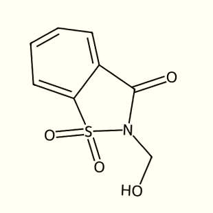 O=C1c2ccccc2S(=O)(=O)N1CO